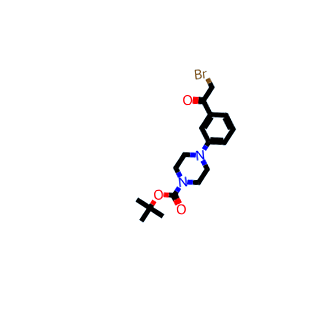 CC(C)(C)OC(=O)N1CCN(c2cccc(C(=O)CBr)c2)CC1